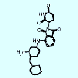 CC1CC(Nc2cccc3c2C(=O)N(C2CCC(=O)NC2=O)C3=O)CCC1CC1CCCCC1